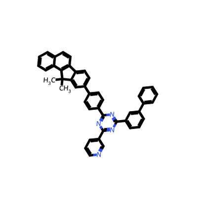 CC1(C)c2cc(-c3ccc(-c4nc(-c5cccnc5)nc(-c5cccc(-c6ccccc6)c5)n4)cc3)ccc2-c2ccc3ccccc3c21